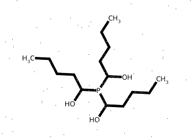 CCCCC(O)P(C(O)CCCC)C(O)CCCC